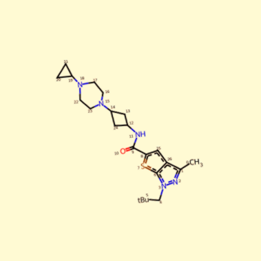 Cc1nn(CC(C)(C)C)c2sc(C(=O)NC3CC(N4CCN(C5CC5)CC4)C3)cc12